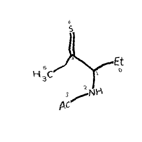 CCC(NC(C)=O)C(C)=S